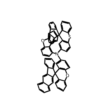 c1ccc2c(c1)Oc1ccc(N(c3ccc4c(c3)C3(c5ccccc5S4)c4ccccc4-c4ccccc43)c3cccc4oc5ccccc5c34)cc1C21c2ccccc2-c2cc3ccccc3cc21